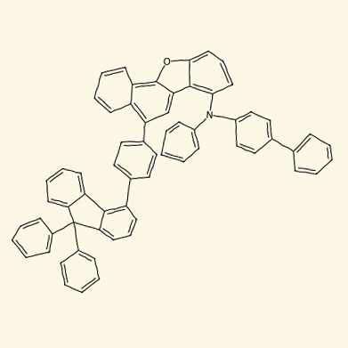 c1ccc(-c2ccc(N(c3ccccc3)c3cccc4oc5c6ccccc6c(-c6ccc(-c7cccc8c7-c7ccccc7C8(c7ccccc7)c7ccccc7)cc6)cc5c34)cc2)cc1